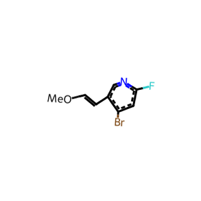 COC=Cc1cnc(F)cc1Br